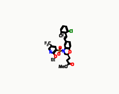 CCOc1ncc(C(F)(F)F)cc1S(=O)(=O)N1C[C@H](CCC(=O)OC)Oc2ccc(/C=C/c3c(Cl)cccc3C(F)(F)F)cc21